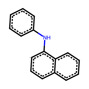 [c]1ccc2ccccc2c1Nc1ccccc1